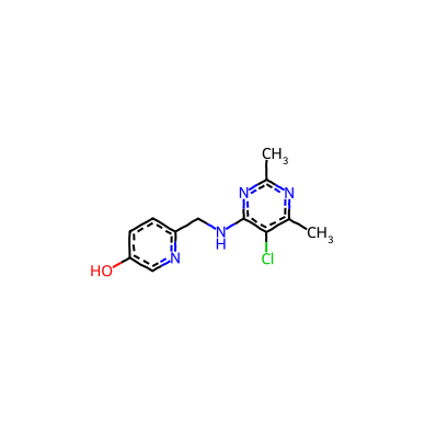 Cc1nc(C)c(Cl)c(NCc2ccc(O)cn2)n1